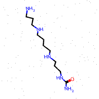 NCCCNCCCCNCCCNC(N)=O